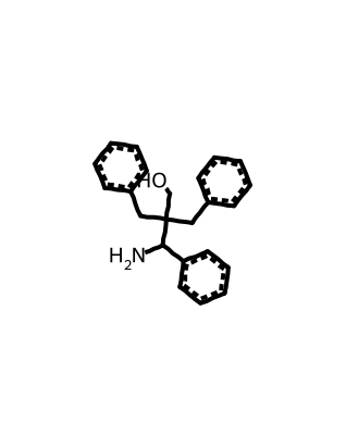 NC(c1ccccc1)C(CO)(Cc1ccccc1)Cc1ccccc1